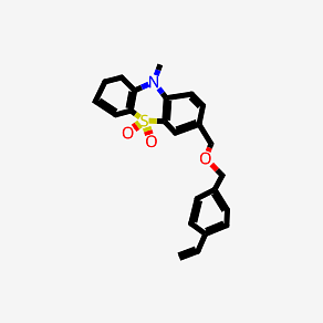 C=Cc1ccc(COCc2ccc3c(c2)S(=O)(=O)C2=C(CCC=C2)N3C)cc1